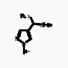 CCCCCCC(CCCCC)c1cnn(C(C)C)c1